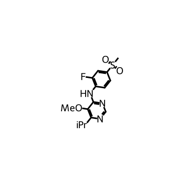 COc1c(Nc2ccc(S(C)(=O)=O)cc2F)ncnc1C(C)C